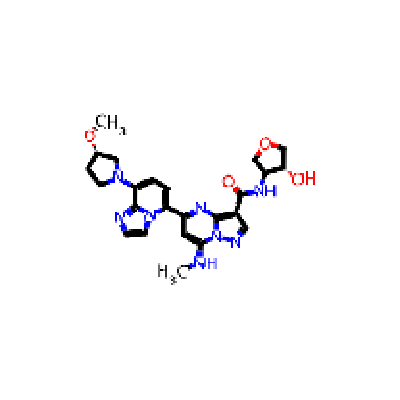 CNc1cc(-c2ccc(N3CC[C@H](OC)C3)c3nccn23)nc2c(C(=O)NC3COC[C@@H]3O)cnn12